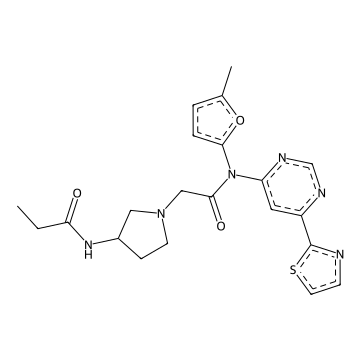 CCC(=O)NC1CCN(CC(=O)N(c2cc(-c3nccs3)ncn2)c2ccc(C)o2)C1